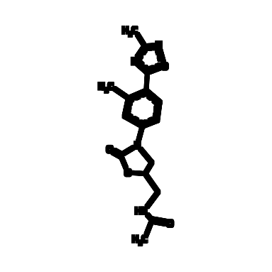 CC(=O)NCC1CN(c2ccc(-c3nc(C)no3)c(C)c2)C(=O)O1